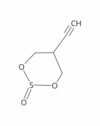 C#CC1COS(=O)OC1